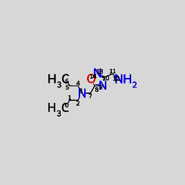 CCCN(CCC)Cc1nc(CN)no1